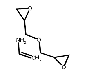 C(OCC1CO1)C1CO1.C=CN